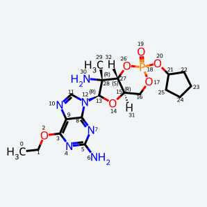 CCOc1nc(N)nc2c1ncn2[C@@H]1O[C@@H]2COP(=O)(OC3CCCC3)O[C@H]2[C@@]1(C)N